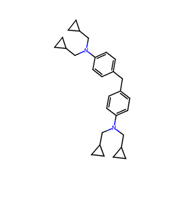 c1cc(N(CC2CC2)CC2CC2)ccc1Cc1ccc(N(CC2CC2)CC2CC2)cc1